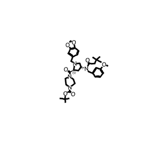 COc1cccc(CN(C(=O)CC(C)(C)C)[C@@H]2C[C@@H](C(=O)N3CCN(C(=O)OC(C)(C)C)CC3)N(Cc3ccc4c(c3)OCO4)C2)c1